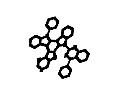 c1ccc(-c2nc(-n3c4ccccc4c4c3c3sc5cncnc5c3c3c5ccccc5n(-c5ccccc5)c34)nc3ccccc23)cc1